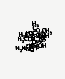 CC(C)OC(=O)[C@H](C)N[P@](=S)(OCCSC(=O)C(C)(C)C)OC[C@H]1O[C@@H](n2ccc(N)nc2=O)[C@@](F)(Cl)[C@@H]1O